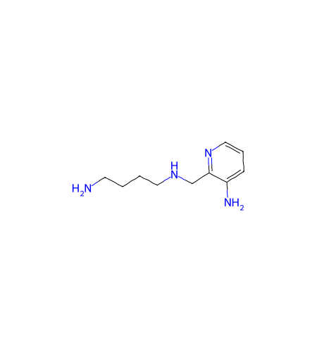 NCCCCNCc1ncccc1N